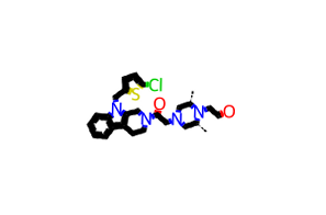 C[C@@H]1CN(CC(=O)N2CCc3c(n(Cc4ccc(Cl)s4)c4ccccc34)C2)C[C@H](C)N1CC=O